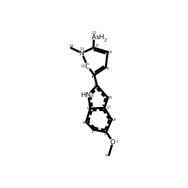 COc1ccc2[nH]c(C3=CC=C([AsH2])N(C)C3)cc2c1